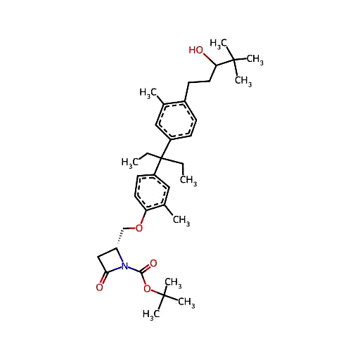 CCC(CC)(c1ccc(CCC(O)C(C)(C)C)c(C)c1)c1ccc(OC[C@H]2CC(=O)N2C(=O)OC(C)(C)C)c(C)c1